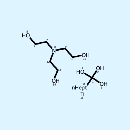 CCCCCCCC(O)(O)O.OCCN(CCO)CCO.[Ti]